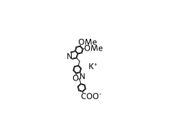 COc1cc2cncc(Cc3ccc4oc(-c5ccc(C(=O)[O-])cc5)nc4c3)c2cc1OC.[K+]